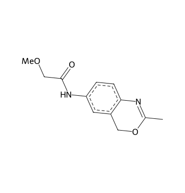 COCC(=O)Nc1ccc2c(c1)COC(C)=N2